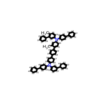 CC1=CC(N(c2ccc(-c3ccccc3)cc2)c2ccc(C)c(-c3ccccc3)c2)CC=C1c1ccc(C2=CC=C(N(c3ccc(-c4ccccc4)cc3)c3cccc(C4C=CC=CC4)c3)CC2)cc1